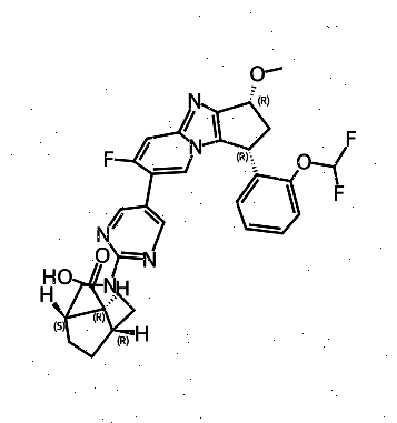 CO[C@@H]1C[C@H](c2ccccc2OC(F)F)c2c1nc1cc(F)c(-c3cnc(N4C[C@H]5CC[C@@H](C4)[C@@H]5C(=O)O)nc3)cn21